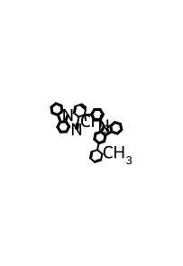 CC1C=CC=CC1c1ccc2c(c1)c1ccccc1n2-c1cccc(C2(C)C#CC=C(n3c4ccccc4c4ccccc43)C2C#N)c1